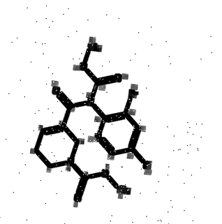 CC(C)(C)OC(=O)N1CCC=C(C(=O)N(C(=O)OC(C)(C)C)c2ncc(Cl)cc2Br)C1